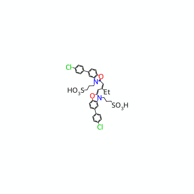 CCC(=Cc1oc2ccc(-c3ccc(Cl)cc3)cc2[n+]1CCCS(=O)(=O)O)C=C1Oc2ccc(-c3ccc(Cl)cc3)cc2N1CCCS(=O)(=O)O